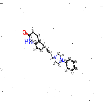 O=C1CCc2cc(C=CCCN3CCN(c4ccccc4)CC3)ccc2N1